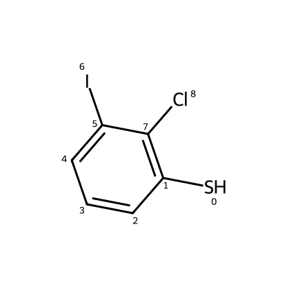 Sc1cccc(I)c1Cl